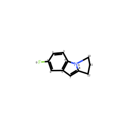 Fc1ccc2c(c1)cc1n2CCC1